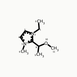 CCn1cc[n+](C)c1C(C)OC